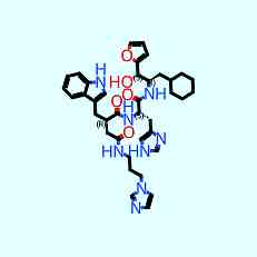 O=C(C[C@@H](Cc1c[nH]c2ccccc12)C(=O)N[C@@H](Cc1c[nH]cn1)C(=O)N[C@H](CC1CCCCC1)[C@H](O)c1ccco1)NCCCn1ccnc1